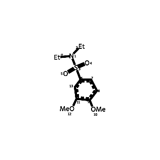 CCN(CC)S(=O)(=O)c1ccc(OC)c(OC)c1